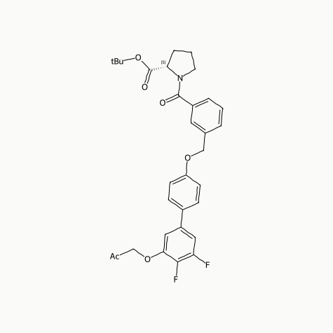 CC(=O)COc1cc(-c2ccc(OCc3cccc(C(=O)N4CCC[C@H]4C(=O)OC(C)(C)C)c3)cc2)cc(F)c1F